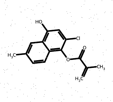 C=C(C)C(=O)Oc1c(Cl)cc(O)c2cc(C)ccc12